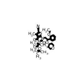 CCOc1ccccc1C(Cn1c(=O)n(C(C)(C)C(=O)OC(C)(C)C)c(=O)c2c(C)c(C#N)sc21)OC1CCOCC1